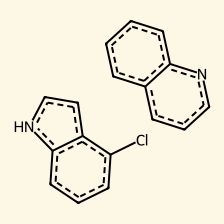 Clc1cccc2[nH]ccc12.c1ccc2ncccc2c1